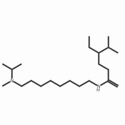 C=C(CCC(CC)C(C)C)NCCCCCCCCN(C)C(C)C